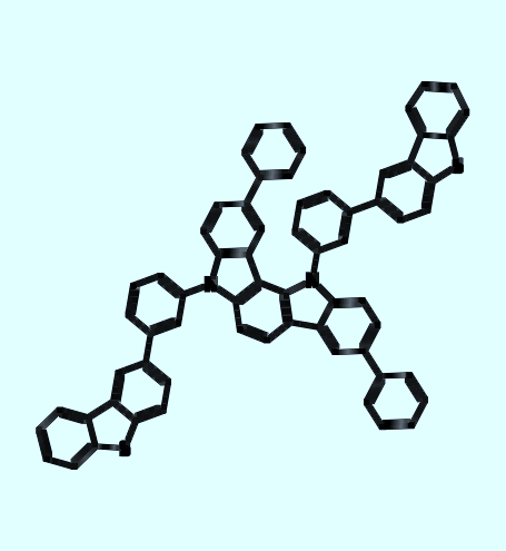 c1ccc(-c2ccc3c(c2)c2c(ccc4c5cc(-c6ccccc6)ccc5n(-c5cccc(-c6ccc7sc8ccccc8c7c6)c5)c42)n3-c2cccc(-c3ccc4sc5ccccc5c4c3)c2)cc1